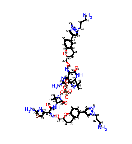 C[n+]1cc(-c2ccc3c(c2)CC[C@@H](CO/N=C(\C(=O)N[C@@H]2C(=O)N(OS(=O)(=O)ON4C(=O)[C@@H](NC(=O)/C(=N\OC[C@@H]5CCc6cc(-c7cn(CCCN)[n+](C)c7)ccc6O5)c5csc(N)n5)C4(C)C)C2(C)C)c2csc(N)n2)O3)cn1CCCN